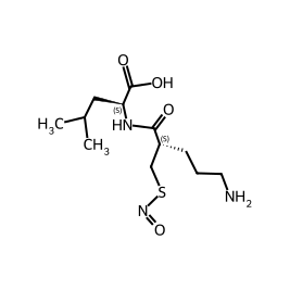 CC(C)C[C@H](NC(=O)[C@H](CCCN)CSN=O)C(=O)O